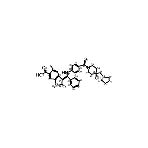 Cc1cc2c(cc1C(=O)O)N(C)C(=O)C2=C(Nc1ccc(C(=O)N2CCC(O)(CN3CCCC3)CC2)cc1)c1ccccc1